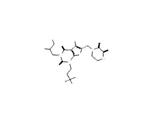 C=C1NCCN(Cc2sc3c(c2C)C(=O)N(CC(C)CC)C(=C)N3CCC(F)(F)F)C1=C